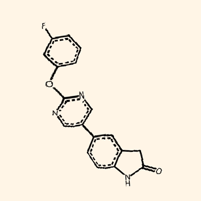 O=C1Cc2cc(-c3cnc(Oc4cccc(F)c4)nc3)ccc2N1